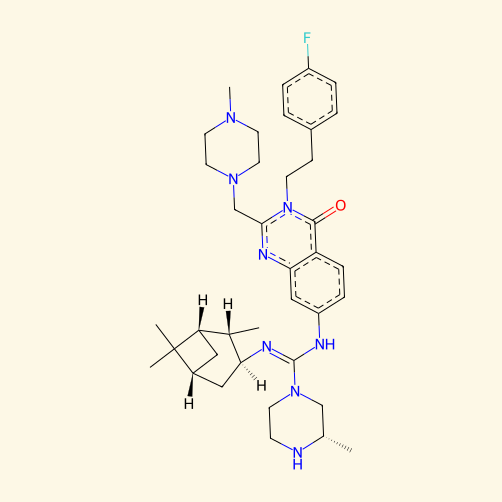 C[C@@H]1[C@@H](N=C(Nc2ccc3c(=O)n(CCc4ccc(F)cc4)c(CN4CCN(C)CC4)nc3c2)N2CCN[C@@H](C)C2)C[C@H]2C[C@@H]1C2(C)C